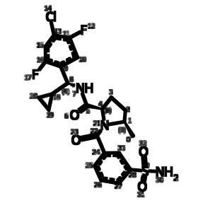 C[C@@H]1CC[C@H](C(=O)N[C@@H](c2cc(F)c(Cl)cc2F)C2CC2)N1C(=O)c1cccc(S(N)(=O)=O)c1